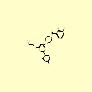 CC(=O)NCCNc1cc(N2CCN(C(=O)c3cccc(C)c3O)CC2)nc(-c2ccc(Cl)cc2)n1